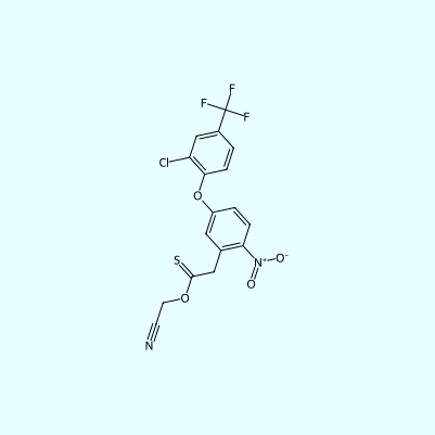 N#CCOC(=S)Cc1cc(Oc2ccc(C(F)(F)F)cc2Cl)ccc1[N+](=O)[O-]